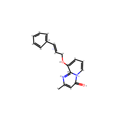 Cc1cc(=O)n2cccc(OC/C=C/c3ccccc3)c2n1